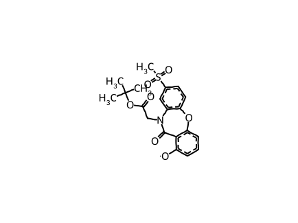 CC(C)(C)OC(=O)CN1C(=O)c2c([O])cccc2Oc2ccc(S(C)(=O)=O)cc21